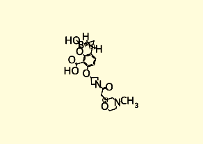 CN1CCO[C@@H](CC(=O)N2CC(Oc3ccc4c(c3C(=O)O)OB(O)[C@@H]3C[C@H]43)C2)C1